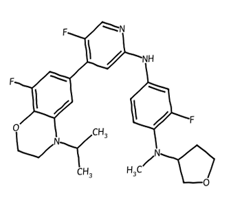 CC(C)N1CCOc2c(F)cc(-c3cc(Nc4ccc(N(C)C5CCOC5)c(F)c4)ncc3F)cc21